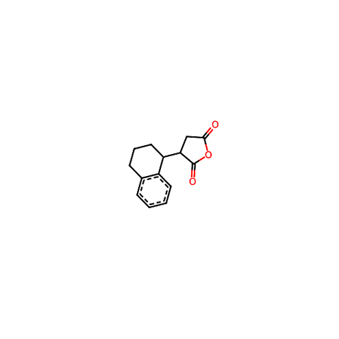 O=C1CC(C2CCCc3ccccc32)C(=O)O1